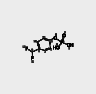 O=P(O)(O)Oc1ccc(C(F)F)cc1